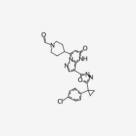 O=CN1CCC(c2cc(=O)[nH]c3c(-c4nnc(C5(c6ccc(Cl)cc6)CC5)o4)cnn23)CC1